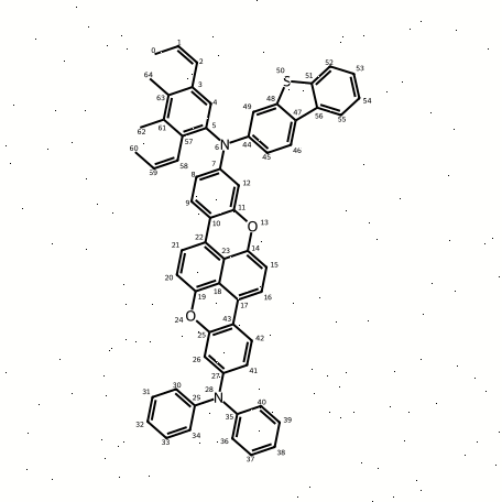 C/C=C\c1cc(N(c2ccc3c(c2)Oc2ccc4c5c(ccc-3c25)Oc2cc(N(c3ccccc3)c3ccccc3)ccc2-4)c2ccc3c(c2)sc2ccccc23)c(/C=C\C)c(C)c1C